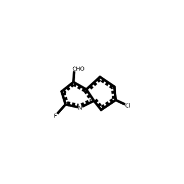 O=Cc1cc(F)nc2cc(Cl)ccc12